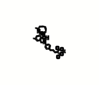 CCN(Cc1cc(C)cc(-n2ncccccc(C)n2)c1O)c1ccc(/C=C/C=C2C(=O)OC(C)(C)OC2=O)cc1